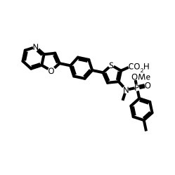 COP(=O)(c1ccc(C)cc1)N(C)c1cc(-c2ccc(-c3cc4ncccc4o3)cc2)sc1C(=O)O